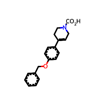 O=C(O)N1CC=C(c2ccc(OCc3ccccc3)cc2)CC1